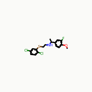 COc1ccc(C(C)NCCSc2cc(Cl)ccc2Cl)cc1F